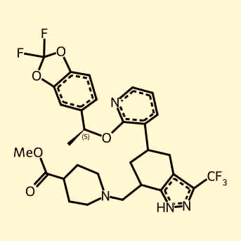 COC(=O)C1CCN(CC2CC(c3cccnc3O[C@@H](C)c3ccc4c(c3)OC(F)(F)O4)Cc3c(C(F)(F)F)n[nH]c32)CC1